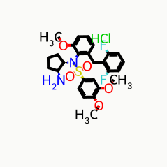 COc1ccc(S(=O)(=O)N(c2c(Cc3c(F)cccc3F)cccc2OC)[C@H]2CCC[C@@H]2N)cc1OC.Cl